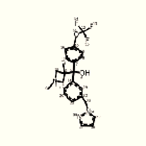 CN1CC(C)(C(O)(c2ccc(OC(F)(F)F)cc2)c2cccc(Cn3cccn3)c2)C1